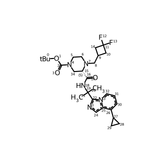 CC(C)(C)OC(=O)N1CCN(CC2CC(F)(F)C2)[C@H](C(=O)NC(C)(C)c2ncc3c(C4CC4)cccn23)C1